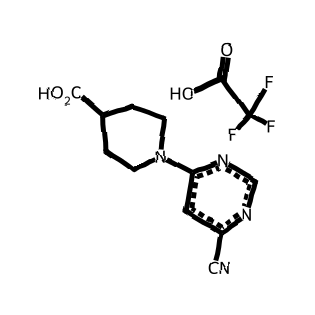 N#Cc1cc(N2CCC(C(=O)O)CC2)ncn1.O=C(O)C(F)(F)F